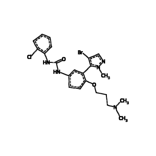 CN(C)CCCOc1ccc(NC(=O)Nc2ccccc2Cl)cc1-c1c(Br)cnn1C